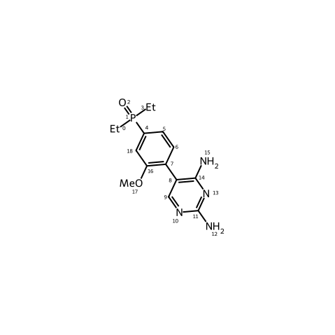 CCP(=O)(CC)c1ccc(-c2cnc(N)nc2N)c(OC)c1